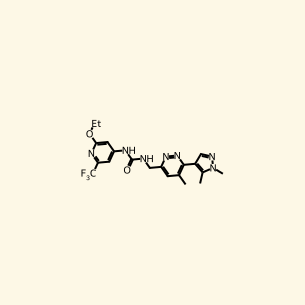 CCOc1cc(NC(=O)NCc2cc(C)c(-c3cnn(C)c3C)nn2)cc(C(F)(F)F)n1